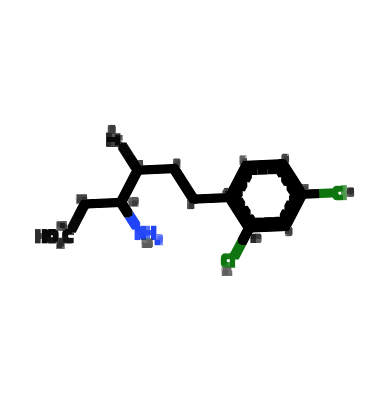 CCC(CCc1ccc(Cl)cc1Cl)C(N)CC(=O)O